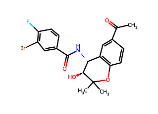 CC(=O)c1ccc2c(c1)[C@@H](NC(=O)c1ccc(F)c(Br)c1)[C@H](O)C(C)(C)O2